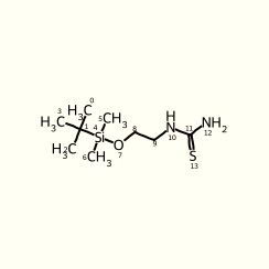 CC(C)(C)[Si](C)(C)OCCNC(N)=S